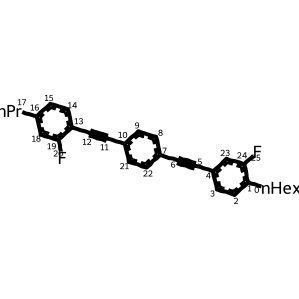 CCCCCCc1ccc(C#Cc2ccc(C#Cc3ccc(CCC)cc3F)cc2)cc1F